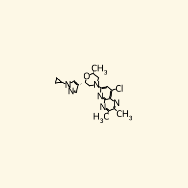 Cc1nc2nc(N3C[C@@H](C)O[C@@H](c4cnn(C5CC5)c4)C3)cc(Cl)c2nc1C